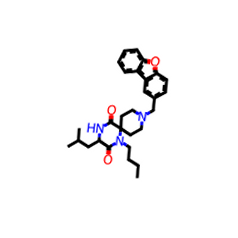 CCCCN1C(=O)C(CC(C)C)NC(=O)C12CCN(Cc1ccc3oc4ccccc4c3c1)CC2